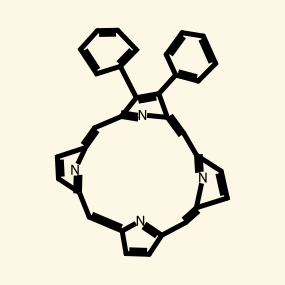 C1=CC2=NC1=CC1=NC(=CC3=NC(=CC4=NC(=C2)C=C4)C(c2ccccc2)=C3c2ccccc2)C=C1